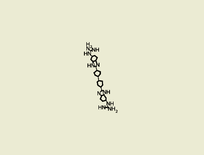 N=C(N)Nc1ccc2nc(-c3ccc(-c4ccc(-c5nc6ccc(NC(=N)N)cc6[nH]5)cc4)cc3)[nH]c2c1